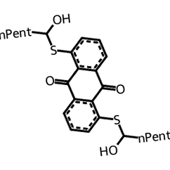 CCCCCC(O)Sc1cccc2c1C(=O)c1cccc(SC(O)CCCCC)c1C2=O